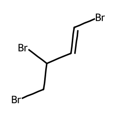 BrC=CC(Br)CBr